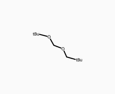 CC(C)(C)COCOC(C)(C)C